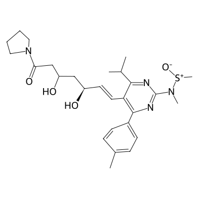 Cc1ccc(-c2nc(N(C)[S+](C)[O-])nc(C(C)C)c2/C=C/[C@@H](O)CC(O)CC(=O)N2CCCC2)cc1